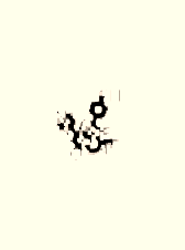 Cc1ccc(C(=O)CN2c3nc(-c4ccncn4)cc(=O)n3CCC2C(F)(F)F)cc1